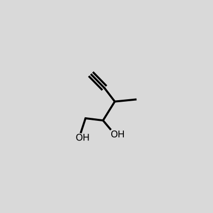 C#CC(C)C(O)CO